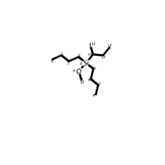 CCCC[Si](CCCC)(OC)C(I)CC